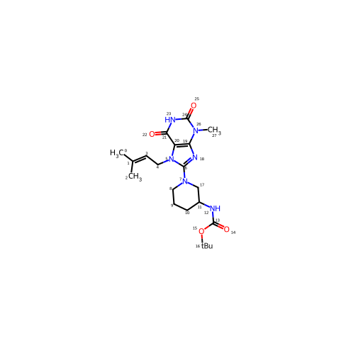 CC(C)=CCn1c(N2CCCC(NC(=O)OC(C)(C)C)C2)nc2c1c(=O)[nH]c(=O)n2C